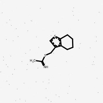 CC(=N)SCc1csc2c1CCCC2